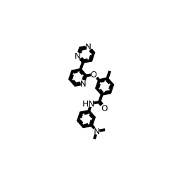 Cc1ccc(C(=O)Nc2cccc(N(C)C)c2)cc1Oc1ncccc1-c1ccncn1